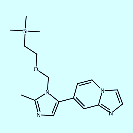 Cc1ncc(-c2ccn3ccnc3c2)n1COCC[Si](C)(C)C